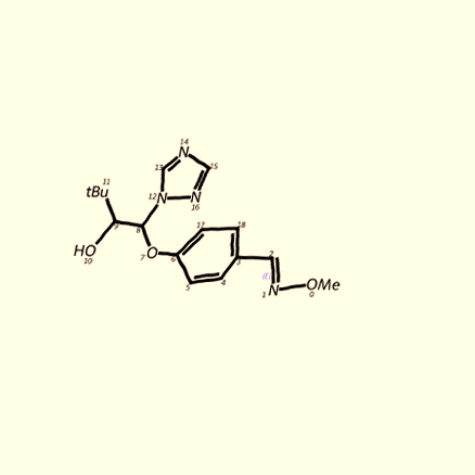 CO/N=C/c1ccc(OC(C(O)C(C)(C)C)n2cncn2)cc1